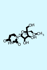 COC[C@]1(CO)O[C@@H](n2ccc(=O)[nH]c2=O)C(O)C1O